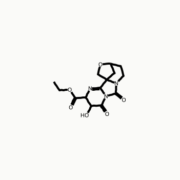 CCOC(=O)C1N=C2N(C(=O)C1O)C(=O)N1CCC3CC21CO3